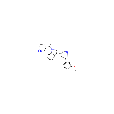 COc1cccc(-c2cncc(-c3cn(C(C)C4CCCNC4)c4ccccc34)c2)c1